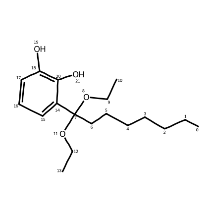 CCCCCCCC(OCC)(OCC)c1cccc(O)c1O